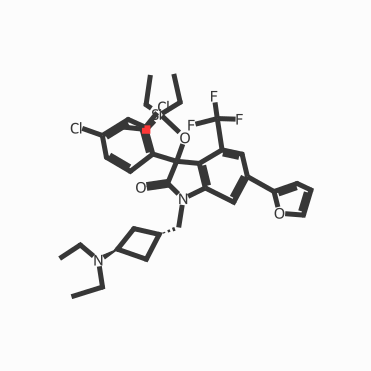 CCN(CC)[C@H]1C[C@H](CN2C(=O)C(O[Si](CC)(CC)CC)(c3ccc(Cl)cc3Cl)c3c2cc(-c2ccco2)cc3C(F)(F)F)C1